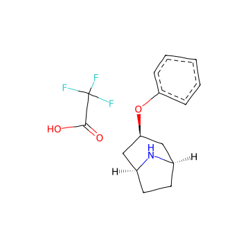 O=C(O)C(F)(F)F.c1ccc(O[C@H]2C[C@H]3CC[C@@H](C2)N3)cc1